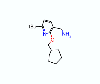 CC(C)(C)c1ccc(CN)c(OCC2CCCCC2)n1